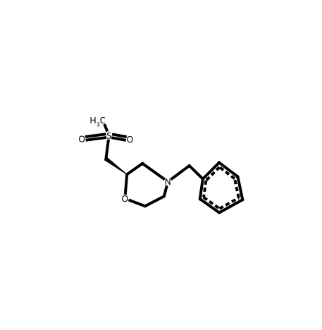 CS(=O)(=O)C[C@H]1CN(Cc2ccccc2)CCO1